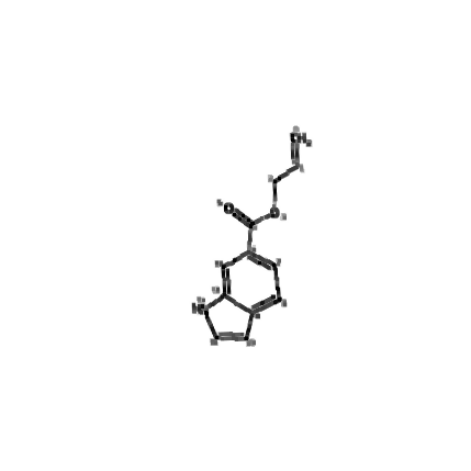 C=CCOC(=O)c1ccc2cc[nH]c2c1